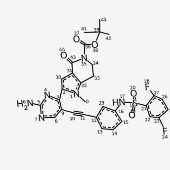 Cn1c(-c2nc(N)ncc2C#Cc2cccc(NS(=O)(=O)c3cc(F)ccc3F)c2)cc2c1CCN(C(=O)OC(C)(C)C)C2=O